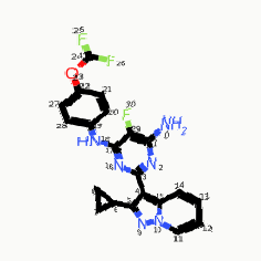 Nc1nc(-c2c(C3CC3)nn3ccccc23)nc(Nc2ccc(OC(F)F)cc2)c1F